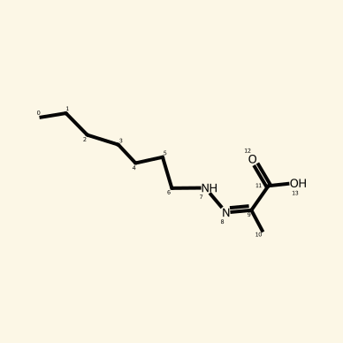 CCCCCCCNN=C(C)C(=O)O